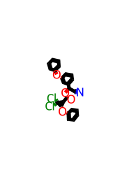 N#CC(OC(=O)C1C(Oc2ccccc2)C1(Cl)Cl)c1cccc(Oc2ccccc2)c1